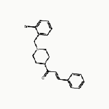 O=C(C=Cc1ccccc1)N1CCN(Cc2ccccc2Br)CC1